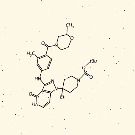 CCC1(n2nc(Nc3ccc(C(=O)N4CCOC(C)C4)c(C)c3)c3c(=O)[nH]ccc32)CCN(C(=O)OC(C)(C)C)CC1